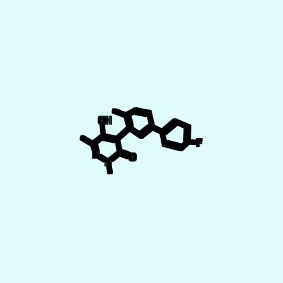 Cc1ccc(-c2ccc(F)cc2)cc1-c1c(O)c(C)nn(C)c1=O